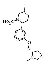 C[C@H]1CC[C@H](c2cccc(OC[C@@H]3CCCN3C)c2)N(C(=O)O)C1